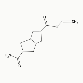 C=COC(=O)C1CC2CC(C(N)=O)CC2C1